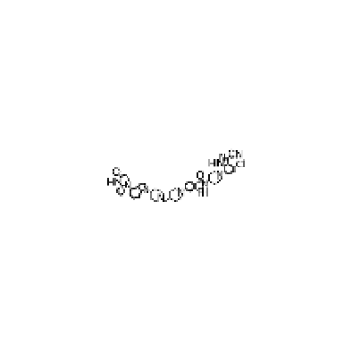 N#Cc1n[nH]c2c(N3CCC(NC(=O)c4ccc(N5CCC(CN6CCC(n7ccc8c(N9CCC(=O)NC9=O)cccc87)CC6)CC5)cc4F)CC3)ccc(Cl)c12